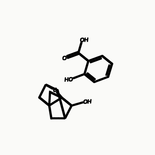 O=C(O)c1ccccc1O.OC1C2CC3CC4(C2)CC14C3